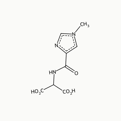 Cn1cnc(C(=O)NC(C(=O)O)C(=O)O)c1